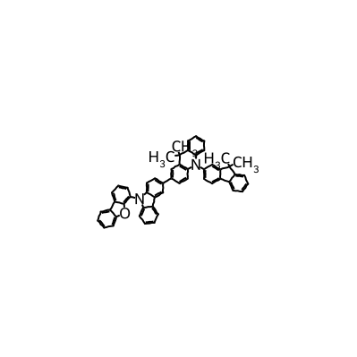 CC1(C)c2ccccc2-c2ccc(N3c4ccccc4C(C)(C)c4cc(-c5ccc6c(c5)c5ccccc5n6-c5cccc6c5oc5ccccc56)ccc43)cc21